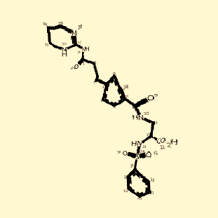 O=C(CCc1ccc(C(=O)NC[C@H](NS(=O)(=O)c2ccccc2)C(=O)O)cc1)NC1=NCCCN1